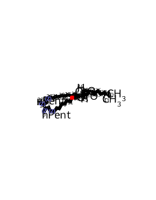 CCCCC/C=C\C/C=C\CCCCCCCCC1(CCCCCCCC/C=C\C/C=C\CCCCC)O[C@H]2C[C@@H](OC(=O)CCCN(C)C)C[C@H]2O1